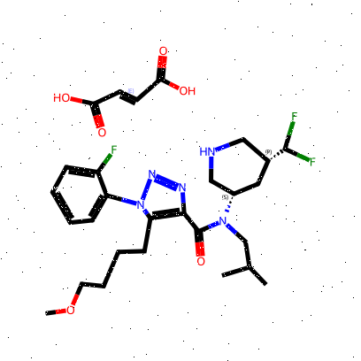 COCCCCc1c(C(=O)N(CC(C)C)[C@@H]2CNC[C@H](C(F)F)C2)nnn1-c1ccccc1F.O=C(O)/C=C/C(=O)O